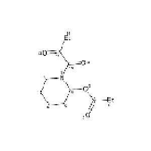 CCC(=O)OC1CCCCN1C(=O)C(=O)CC